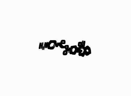 NC1CCN(C(=O)COC(=O)N2CCC(N3CCc4ccccc4NC3=O)CC2)CC1